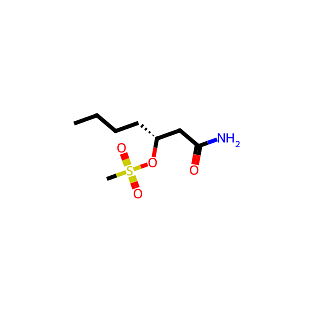 CCCC[C@H](CC(N)=O)OS(C)(=O)=O